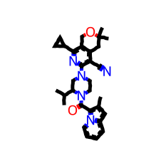 Cc1cc2ccccn2c1C(=O)N1CCN(c2nc(C3CC3)c3c(c2C#N)CC(C)(C)OC3)CC1C(C)C